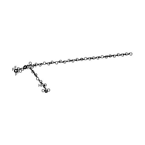 COCCOCCOCCOCCOCCOCCOCCOCCOCCOCCOCCOCCOCCOCCOCCOCCOCCOCCOCCOCCOCCOCCOCCOCCNC(=O)C(Cc1ccc(OCC(=O)Oc2c(F)c(F)cc(F)c2F)cc1)NC(=O)CCOCCOCCOCCOCCNC(=O)CCN1C(=O)C=CC1=O